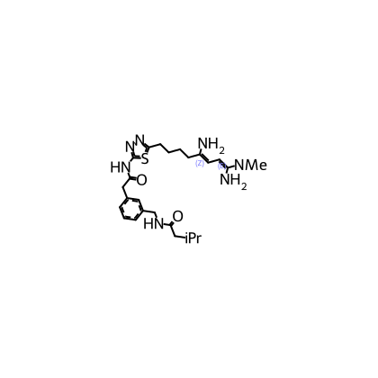 CN/C(N)=C/C=C(\N)CCCCc1nnc(NC(=O)Cc2cccc(CNC(=O)CC(C)C)c2)s1